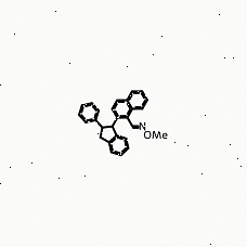 CON=Cc1c(C2c3ccccc3CC2c2ccccc2)ccc2ccccc12